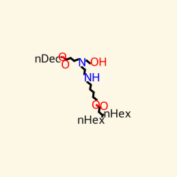 CCCCCCCCCCOC(=O)CCCN(CCO)CCCNCCCCCCOC(=O)CC(CCCCCC)CCCCCC